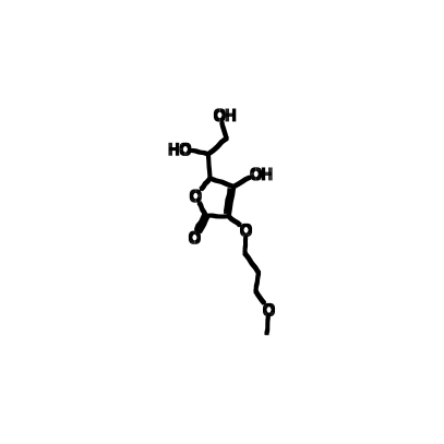 COCCCOC1=C(O)C(C(O)CO)OC1=O